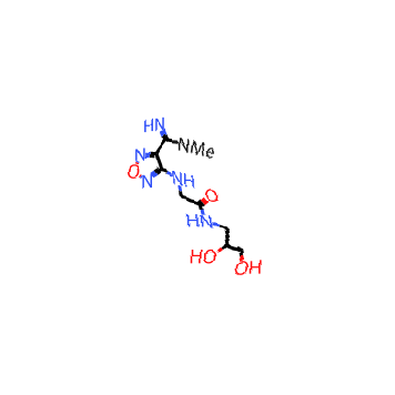 CNC(=N)c1nonc1NCC(=O)NCC(O)CO